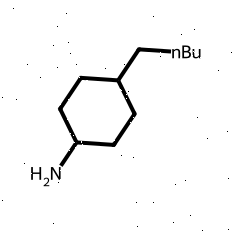 CCCCCC1CCC(N)CC1